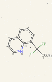 CCOC(=O)C(F)(Cl)c1cccc2cccnc12